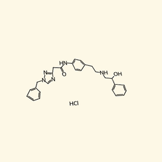 Cl.O=C(Cc1ncn(Cc2ccccc2)n1)Nc1ccc(CCNCC(O)c2ccccc2)cc1